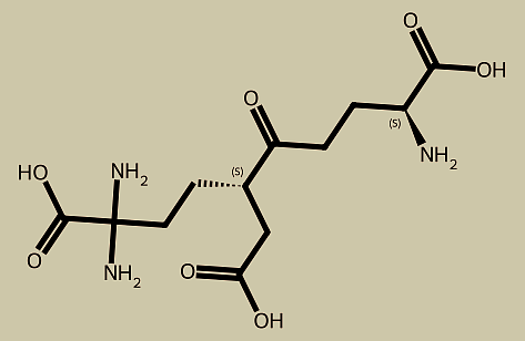 N[C@@H](CCC(=O)[C@@H](CCC(N)(N)C(=O)O)CC(=O)O)C(=O)O